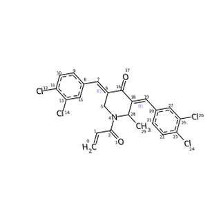 C=CC(=O)N1C/C(=C\c2ccc(Cl)c(Cl)c2)C(=O)/C(=C/c2ccc(Cl)c(Cl)c2)C1C